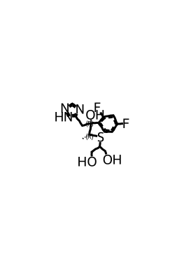 C[C@@H](SC(CO)CO)[C@@](O)(Cc1ncn[nH]1)c1ccc(F)cc1F